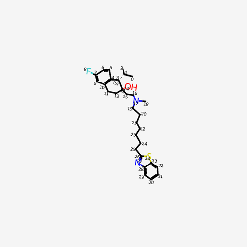 CC(C)[C@H]1c2ccc(F)cc2CC[C@]1(O)CCN(C)CCCCCCCc1nc2ccccc2s1